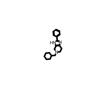 c1ccc(-c2nc3c([nH]2)CN(CC2CCCCC2)CC3)cc1